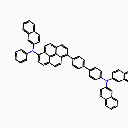 c1ccc(N(c2ccc3ccccc3c2)c2ccc3ccc4c(-c5ccc(-c6ccc(N(c7ccc8ccccc8c7)c7ccc8ccccc8c7)cc6)cc5)ccc5ccc2c3c54)cc1